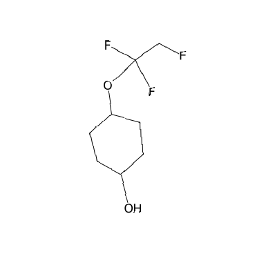 OC1CCC(OC(F)(F)CF)CC1